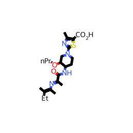 CCCOC1CN(c2nc(C)c(C(=O)O)s2)CCC1NC(=O)/C(C)=N/C(C)=C(\C)CC